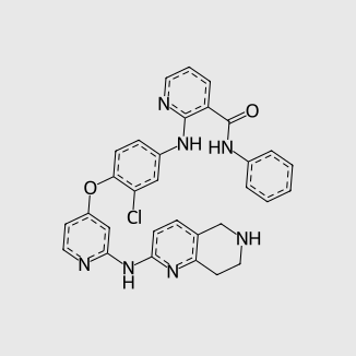 O=C(Nc1ccccc1)c1cccnc1Nc1ccc(Oc2ccnc(Nc3ccc4c(n3)CCNC4)c2)c(Cl)c1